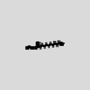 CCCCC[S+]([O-])CCCCCCCCCCBr